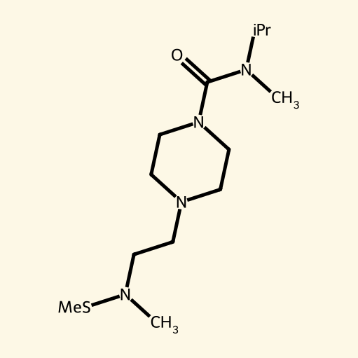 CSN(C)CCN1CCN(C(=O)N(C)C(C)C)CC1